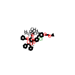 CO[C@@]1(c2ccc(Cl)c(Cc3ccc(OCCOC4CC4)cc3)c2)O[C@H](CO[Si](C)(C)C(C)(C)C)[C@@H](OCc2ccccc2)[C@H](OCc2ccccc2)[C@H]1OCc1ccccc1